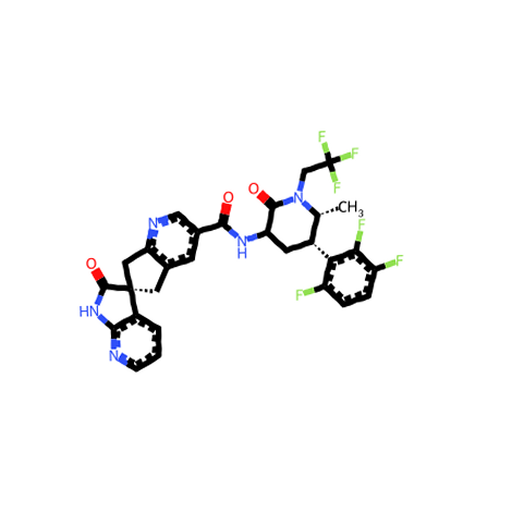 C[C@@H]1[C@H](c2c(F)ccc(F)c2F)CC(NC(=O)c2cnc3c(c2)C[C@@]2(C3)C(=O)Nc3ncccc32)C(=O)N1CC(F)(F)F